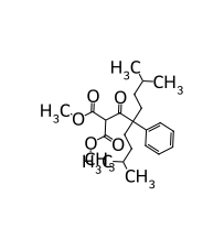 COC(=O)C(C(=O)OC)C(=O)C(CCC(C)C)(CCC(C)C)c1ccccc1